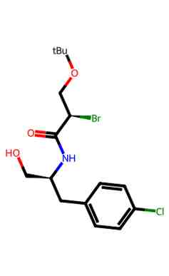 CC(C)(C)OC[C@@H](Br)C(=O)N[C@H](CO)Cc1ccc(Cl)cc1